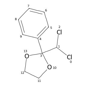 ClC(Cl)C1(c2ccccc2)OCCO1